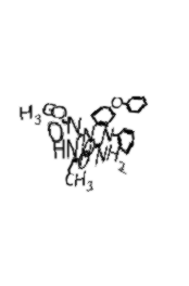 CCC(=O)NC(=NC(=O)OC)Nc1ccc(Oc2ccccc2)cc1N(C(N)=O)c1ccccc1